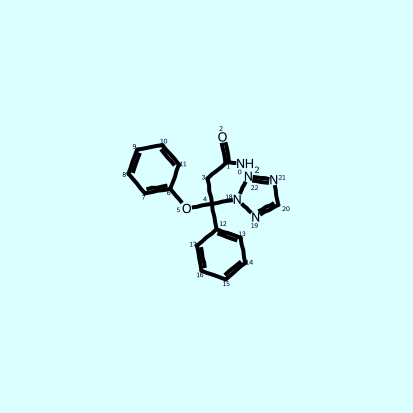 NC(=O)CC(Oc1ccccc1)(c1ccccc1)n1ncnn1